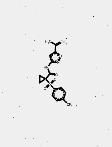 C=C(C)c1cc(NC(=O)C2(S(=O)(=O)c3ccc(C(F)(F)F)cc3)CC2)no1